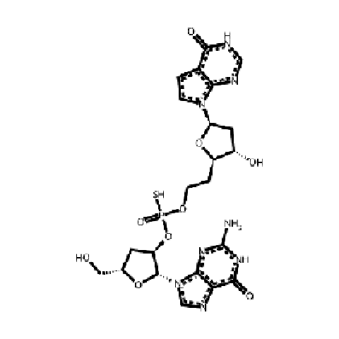 Nc1nc2c(ncn2[C@@H]2O[C@H](CO)C[C@H]2OP(=O)(S)OCC[C@H]2O[C@@H](n3ccc4c(=O)[nH]cnc43)C[C@@H]2O)c(=O)[nH]1